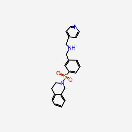 O=S(=O)(c1cccc(CNCc2ccncc2)c1)N1CCc2ccccc2C1